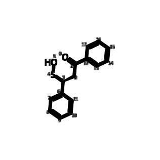 O=C(C[C@H](SO)c1ccccc1)c1ccccc1